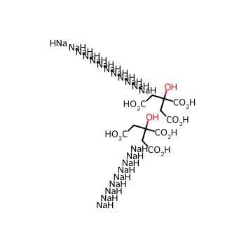 O=C(O)CC(O)(CC(=O)O)C(=O)O.O=C(O)CC(O)(CC(=O)O)C(=O)O.[NaH].[NaH].[NaH].[NaH].[NaH].[NaH].[NaH].[NaH].[NaH].[NaH].[NaH].[NaH].[NaH].[NaH].[NaH].[NaH].[NaH].[NaH].[NaH].[NaH].[NaH]